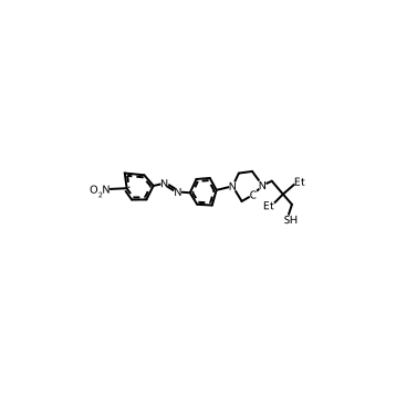 CCC(CC)(CS)CN1CCN(c2ccc(N=Nc3ccc([N+](=O)[O-])cc3)cc2)CC1